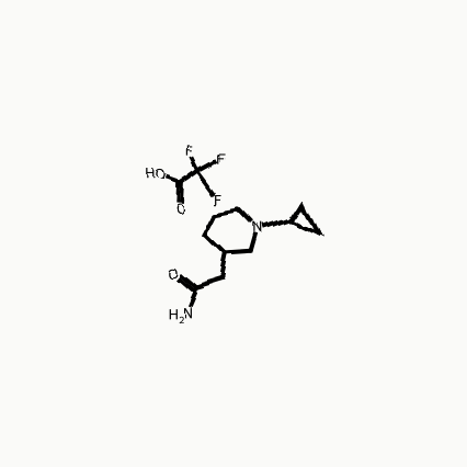 NC(=O)CC1CCCN(C2CC2)C1.O=C(O)C(F)(F)F